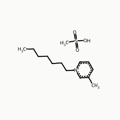 CCCCCCC[n+]1cccc(C)c1.CS(=O)(=O)O